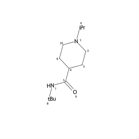 CC(C)N1CCC(C(=O)NC(C)(C)C)CC1